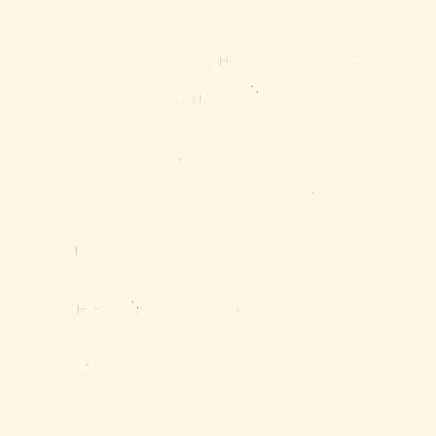 CC(C)C1CC(Oc2ccc(OC3CC(C(C)C)N(O)C(C(C)C)C3)cc2)CC(C(C)C)N1C